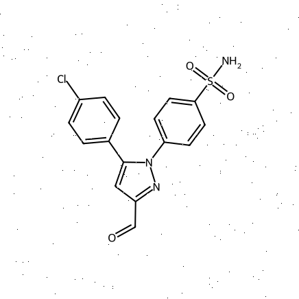 NS(=O)(=O)c1ccc(-n2nc(C=O)cc2-c2ccc(Cl)cc2)cc1